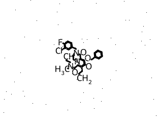 C=CCc1c(C(=O)N(C)CC=C)n2c(c(OCc3ccccc3)c1=O)C(=O)N(Cc1ccc(F)c(Cl)c1)CC2